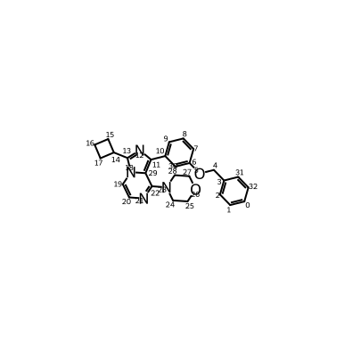 c1ccc(COc2cccc(-c3nc(C4CCC4)n4ccnc(N5CCOCC5)c34)c2)cc1